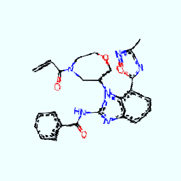 C=CC(=O)N1CCOCC(n2c(NC(=O)c3ccccc3)nc3cccc(-c4nc(C)no4)c32)C1